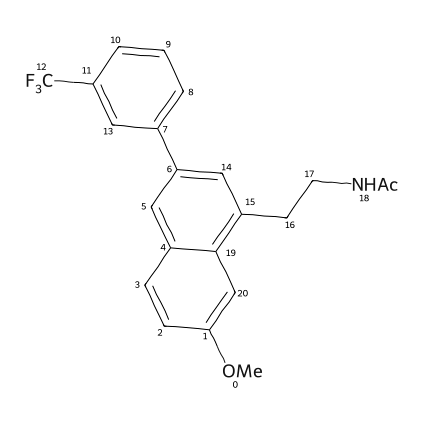 COc1ccc2cc(-c3cccc(C(F)(F)F)c3)cc(CCNC(C)=O)c2c1